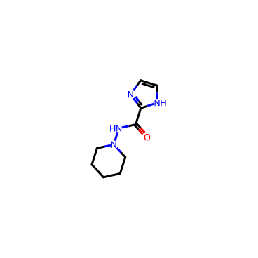 O=C(NN1CCCCC1)c1ncc[nH]1